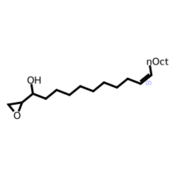 CCCCCCCC/C=C\CCCCCCCCC(O)C1CO1